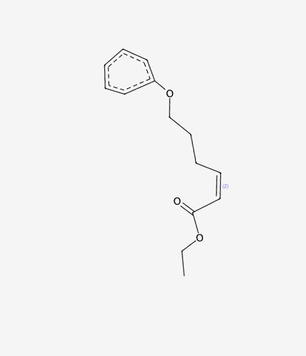 CCOC(=O)/C=C\CCCOc1ccccc1